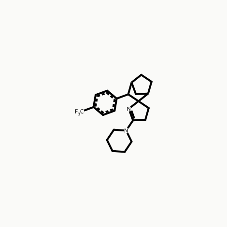 FC(F)(F)c1ccc(C2C3CCC(C3)C23CCC(N2CCCCC2)=N3)cc1